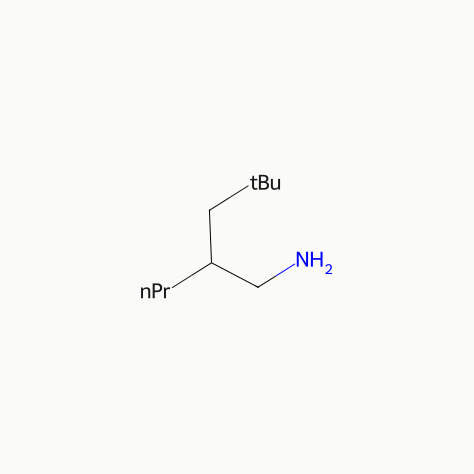 CCCC(CN)CC(C)(C)C